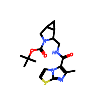 Cc1nc2sccn2c1C(=O)NCC1C2CC2CN1C(=O)OC(C)(C)C